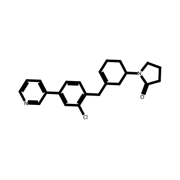 O=C1CCCN1C1CCC=C(Cc2ccc(-c3cccnc3)cc2Cl)C1